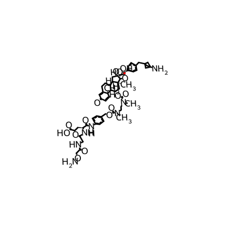 CN(CCN(C)C(=O)O[C@H]1C[C@@]2(C)[C@@H](C[C@H]3O[C@@H](c4ccc(CC56CC(N)(C5)C6)cc4)O[C@]32C(=O)CO)[C@@H]2CCC3=CC(=O)C=C[C@]3(C)[C@H]21)C(=O)OCc1ccc(NC(=O)[C@H](CCC(=O)O)NC(=O)CNC(=O)CON)cc1